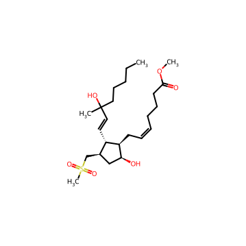 CCCCCC(C)(O)/C=C/[C@H]1[C@H](CS(C)(=O)=O)C[C@H](O)[C@@H]1C/C=C\CCCC(=O)OC